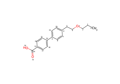 CCCOCCc1ccc(-c2ccc(C(=O)O)cc2)cc1